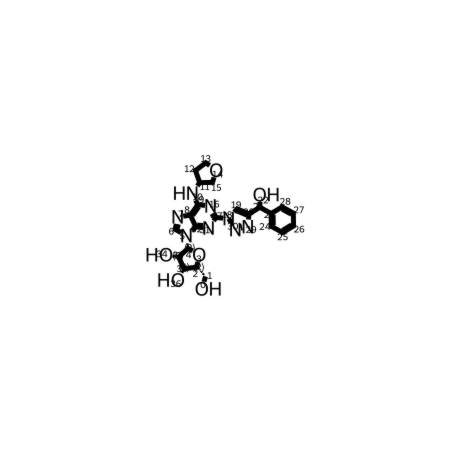 OC[C@H]1O[C@@H](n2cnc3c(NC4CCOC4)nc(-n4cc(C(O)c5ccccc5)nn4)nc32)[C@H](O)[C@@H]1O